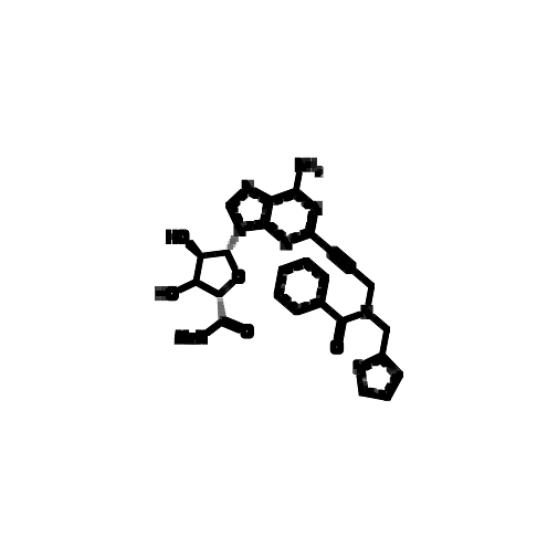 CNC(=O)[C@H]1O[C@@H](n2cnc3c(N)nc(C#CCN(Cc4cccs4)C(=O)c4ccccc4)nc32)[C@H](O)C1O